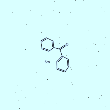 O=C(c1ccccc1)c1ccccc1.[Sm]